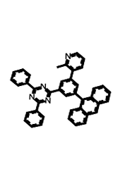 Cc1ncccc1-c1cc(-c2nc(-c3ccccc3)nc(-c3ccccc3)n2)cc(-c2c3ccccc3cc3ccccc23)c1